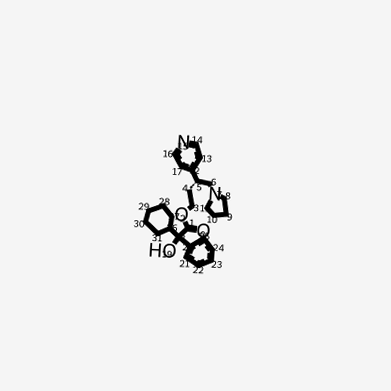 O=C(OCC[C@@H](CN1CCCC1)c1ccncc1)C(O)(c1ccccc1)C1CCCCC1